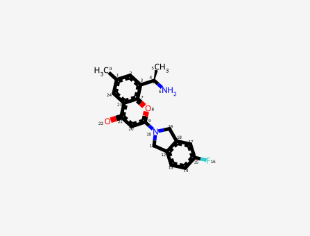 Cc1cc([C@@H](C)N)c2oc(N3Cc4ccc(F)cc4C3)cc(=O)c2c1